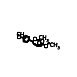 CCOC(=O)C=C=CC(OC(C)=O)c1ccc(OC)cc1